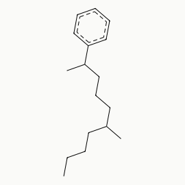 CCCCC(C)CCCC(C)c1ccccc1